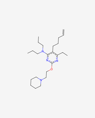 C=CCCCc1c(CC)nc(OCCN2CCCCC2)nc1N(CCC)CCC